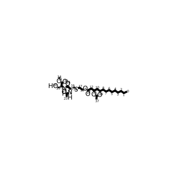 CCCCCCCCCCCC(CC(=O)OCCSC[C@H](NC(C)=O)C(=O)N[C@@H](CO)C(=O)OC)OC(C)=O